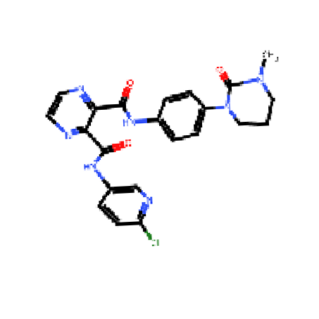 CN1CCCN(c2ccc(NC(=O)c3nccnc3C(=O)Nc3ccc(Cl)nc3)cc2)C1=O